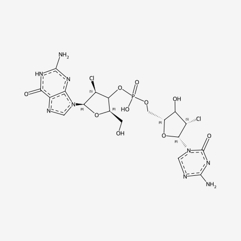 Nc1ncn([C@@H]2O[C@H](COP(=O)(O)OC3[C@@H](CO)O[C@@H](n4cnc5c(=O)[nH]c(N)nc54)[C@H]3Cl)C(O)[C@@H]2Cl)c(=O)n1